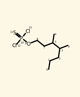 CCCC(C)C(C)CCOP(=S)(Cl)Cl